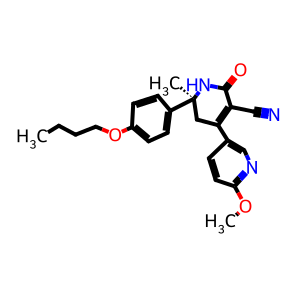 CCCCOc1ccc([C@]2(C)CC(c3ccc(OC)nc3)=C(C#N)C(=O)N2)cc1